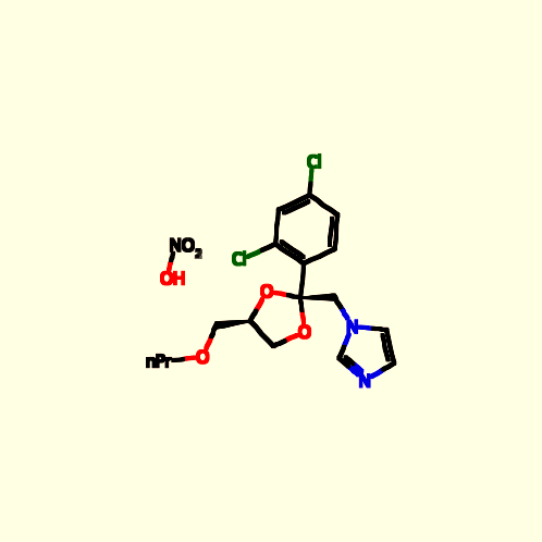 CCCOC[C@@H]1CO[C@@](Cn2ccnc2)(c2ccc(Cl)cc2Cl)O1.O=[N+]([O-])O